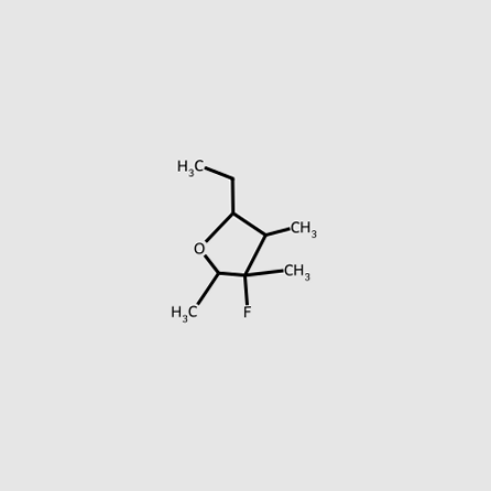 CCC1OC(C)C(C)(F)C1C